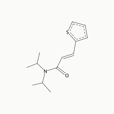 CC(C)N(C(=O)/C=C/c1cccs1)C(C)C